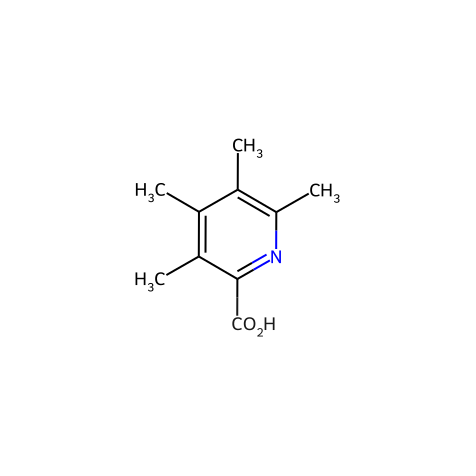 Cc1nc(C(=O)O)c(C)c(C)c1C